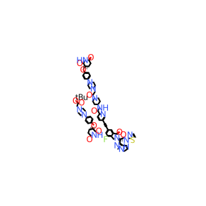 CC(C)(C)OC(=O)CN1CCN(c2ccc(O[C@@H]3CCC(=O)NC3=O)cc2)CC1.O=C1CC[C@@H](Oc2ccc(N3CCN(CC(=O)N4CCC(NC(=O)c5ccc(C#Cc6cc(F)c7c(c6)C(=O)N([C@@H](C(=O)Nc6nccs6)c6ncn8c6CCC8)C7)cn5)CC4)CC3)cc2)C(=O)N1